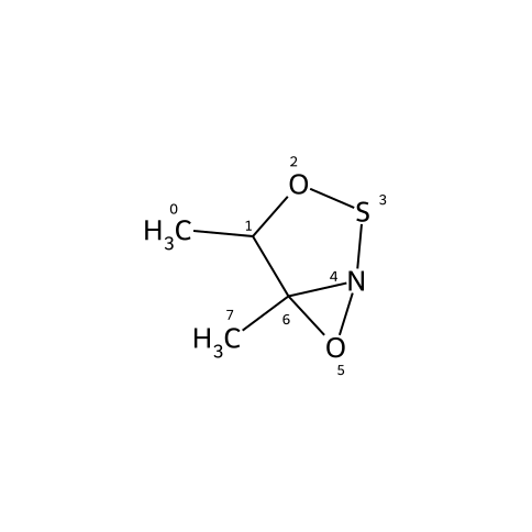 CC1OSN2OC12C